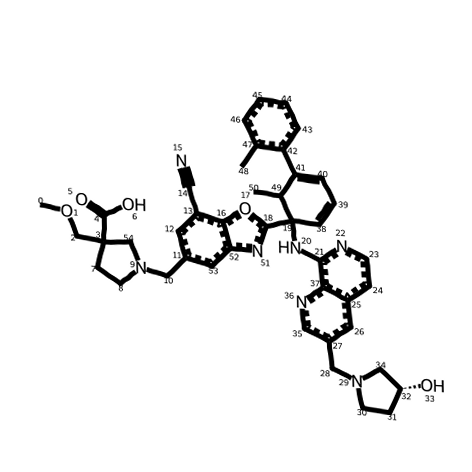 COCC1(C(=O)O)CCN(Cc2cc(C#N)c3oc(C4(Nc5nccc6cc(CN7CC[C@@H](O)C7)cnc56)C=CC=C(c5ccccc5C)C4C)nc3c2)C1